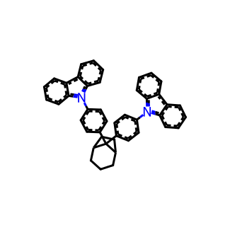 c1ccc2c(c1)c1ccccc1n2-c1ccc(C2(c3ccc(-n4c5ccccc5c5ccccc54)cc3)C3CCCC2CC3)cc1